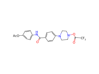 CC(=O)Oc1ccc(NC(=O)c2ccc(N3CCN(OC(=O)C(F)(F)F)CC3)cc2)cc1